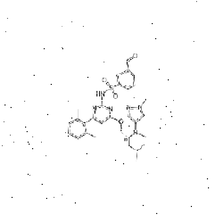 Cc1cccc(C)c1-c1cc(OC[C@@H](CC(C)C)N(C)c2cnn(C)c2)nc(NS(=O)(=O)c2cccc(C=O)c2)n1